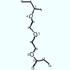 CCC(C)OCCOCCOC(C)CC